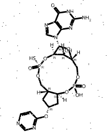 Nc1nc2c(ncn2[C@@H]2O[C@@H]3COP(=O)(O)O[C@H]4C[C@H](Oc5ccncn5)C[C@@H]4CO[P@](=O)(S)O[C@@H]2[C@@H]3O)c(=O)[nH]1